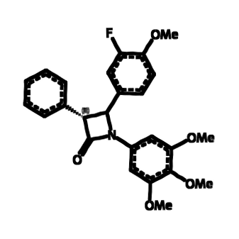 COc1ccc(C2[C@@H](c3ccccc3)C(=O)N2c2cc(OC)c(OC)c(OC)c2)cc1F